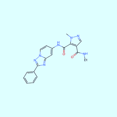 CCNC(=O)c1cnn(C)c1C(=O)Nc1ccn2nc(-c3ccccc3)nc2c1